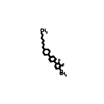 CCCCCCCCC1CCC(c2ccc(-c3ccc(OC)c(F)c3F)cc2)CC1